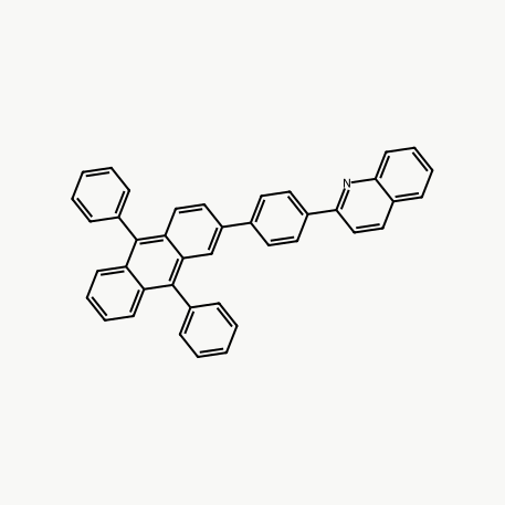 c1ccc(-c2c3ccccc3c(-c3ccccc3)c3cc(-c4ccc(-c5ccc6ccccc6n5)cc4)ccc23)cc1